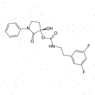 O=C(NCCc1cc(F)cc(F)c1)O[C@@]1(O)CCN(c2ccccc2)C1=O